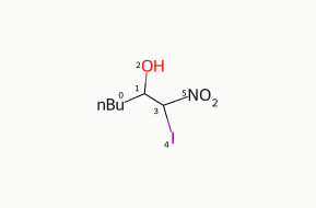 CCCCC(O)C(I)[N+](=O)[O-]